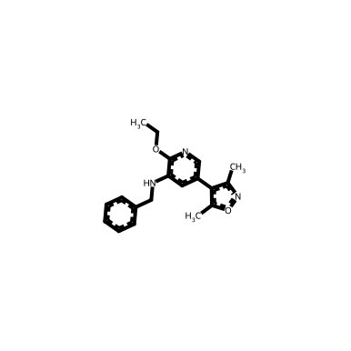 CCOc1ncc(-c2c(C)noc2C)cc1NCc1ccccc1